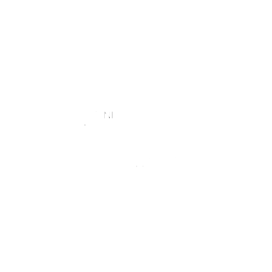 CC(=O)NCCc1coc2ccc(I)cc12